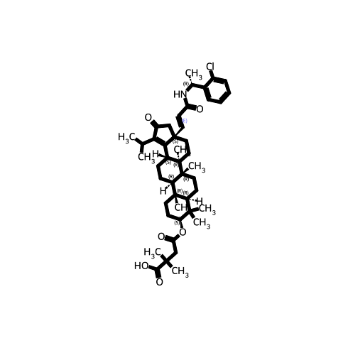 CC(C)C1=C2[C@H]3CC[C@@H]4[C@@]5(C)CC[C@H](OC(=O)CC(C)(C)C(=O)O)C(C)(C)[C@@H]5CC[C@@]4(C)[C@]3(C)CC[C@@]2(/C=C/C(=O)N[C@H](C)c2ccccc2Cl)CC1=O